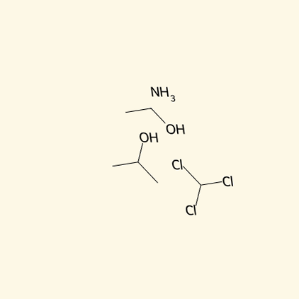 CC(C)O.CCO.ClC(Cl)Cl.N